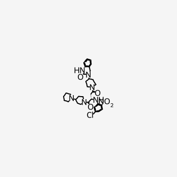 O=C(C[C@H](Nc1cc(Cl)ccc1[N+](=O)[O-])C(=O)N1CCC(N2CCCCC2)CC1)N1CCC(N2Cc3ccccc3NC2=O)CC1